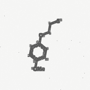 COc1ccc(OCC[S])cc1